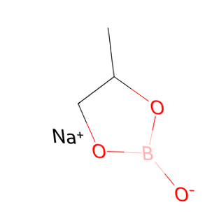 CC1COB([O-])O1.[Na+]